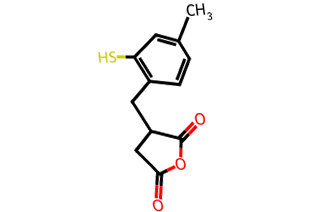 Cc1ccc(CC2CC(=O)OC2=O)c(S)c1